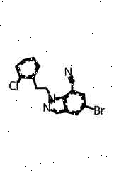 N#Cc1cc(Br)cc2cnn(CCc3ccccc3Cl)c12